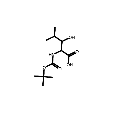 CC(C)C(O)C(NC(=O)OC(C)(C)C)C(=O)O